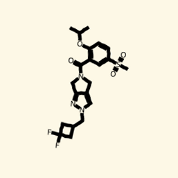 CC(C)Oc1ccc(S(C)(=O)=O)cc1C(=O)N1Cc2cn(CC3CC(F)(F)C3)nc2C1